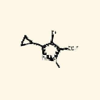 CCc1c(C2CC2)nn(C)c1C(=O)O